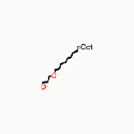 CCCCCCCCCCCCCCCCOCCC[O]